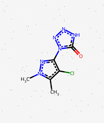 Cc1c(Cl)c(-n2nn[nH]c2=O)nn1C